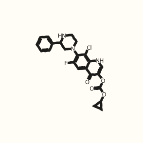 O=C(Oc1c[nH]c2c(Cl)c(N3CCNC(c4ccccc4)C3)c(F)cc2c1=O)OC1CC1